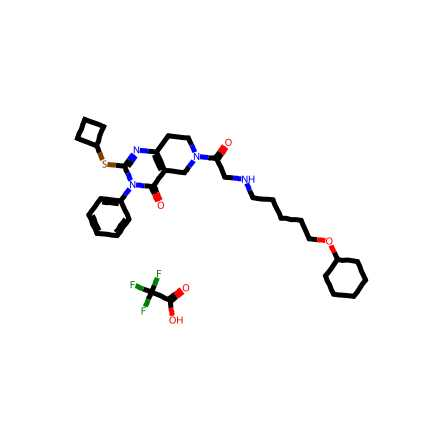 O=C(CNCCCCCOC1CCCCC1)N1CCc2nc(SC3CCC3)n(-c3ccccc3)c(=O)c2C1.O=C(O)C(F)(F)F